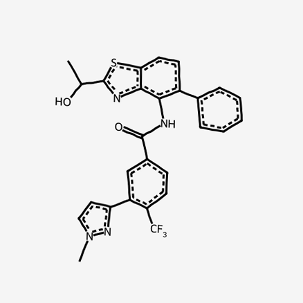 CC(O)c1nc2c(NC(=O)c3ccc(C(F)(F)F)c(-c4ccn(C)n4)c3)c(-c3ccccc3)ccc2s1